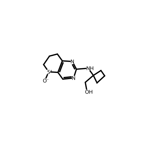 [O-][S+]1CCCc2nc(NC3(CO)CCC3)ncc21